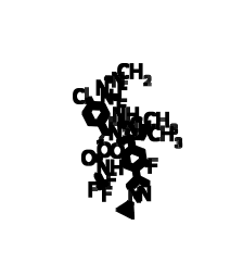 C=N/C=N\N(c1cc([C@@H](COC(=O)NCC(F)(F)F)N2C(=N)N[C@](CC(C)(C)C)(c3ccc(-c4cnn(C5CC5)c4)c(F)c3)C2=O)ccc1Cl)C(F)F